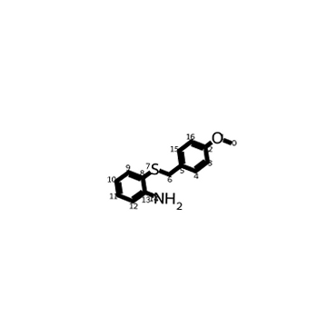 COc1ccc(CSc2ccccc2N)cc1